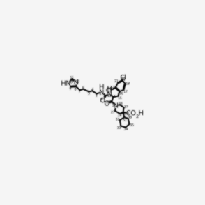 O=C(NCCCCCc1c[nH]cn1)NC(Cc1ccc(Cl)cc1Cl)C(=O)N1CCC(C(=O)O)(C2CCCCC2)CC1